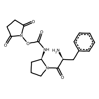 N[C@@H](Cc1ccccc1)C(=O)N1CCC[C@H]1NC(=O)ON1C(=O)CCC1=O